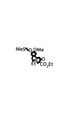 CCOC(=O)c1cn2c(cc1=O)-c1cc(OC)c(OCCSC)cc1CC2CC